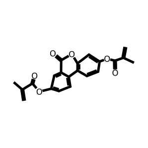 C=C(C)C(=O)Oc1ccc2c(c1)oc(=O)c1cc(OC(=O)C(=C)C)ccc12